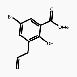 C=CCc1cc(Br)cc(C(=O)OC)c1O